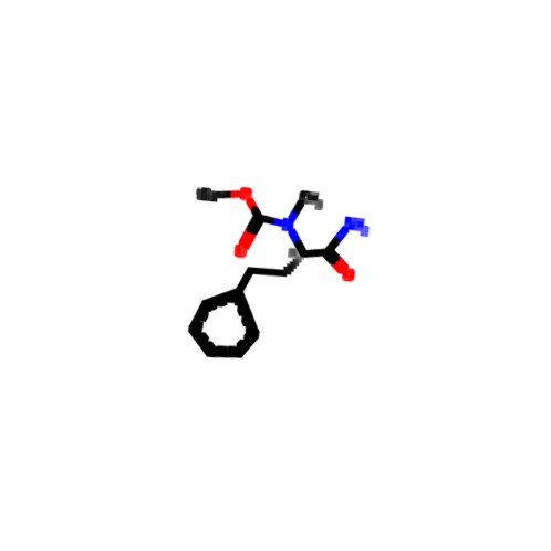 CN(C(=O)OC(C)(C)C)[C@@H](CCc1ccccc1)C(N)=O